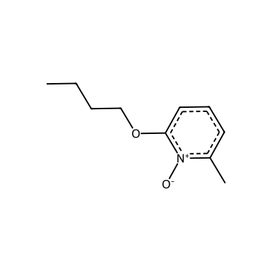 CCCCOc1cccc(C)[n+]1[O-]